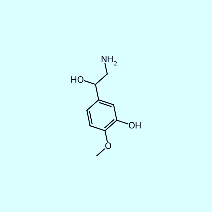 COc1ccc(C(O)CN)cc1O